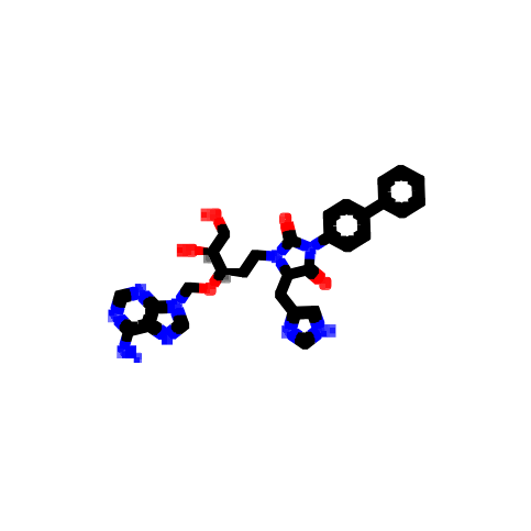 Nc1ncnc2c1ncn2CO[C@H](CCN1C(=O)N(c2ccc(-c3ccccc3)cc2)C(=O)C1Cc1c[nH]cn1)[C@@H](O)CO